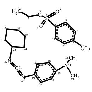 CCOS(=O)(=O)c1ccc(C)cc1.CN(C)c1ccc(N=C=NC2CCCCC2)cc1